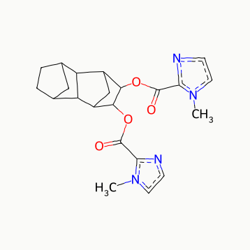 Cn1ccnc1C(=O)OC1C2CC(C1OC(=O)c1nccn1C)C1C3CCC(C3)C21